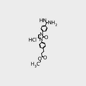 CCOC(=O)CCc1ccc(-n2ccn(-c3ccc(C(=N)N)cc3)c2=O)cc1.Cl